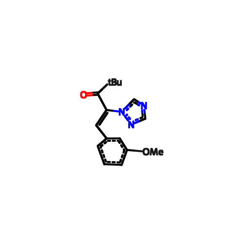 COc1cccc(C=C(C(=O)C(C)(C)C)n2cncn2)c1